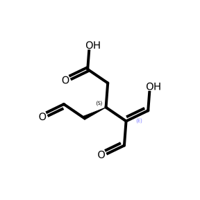 O=CC[C@@H](CC(=O)O)/C(C=O)=C\O